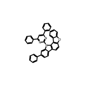 c1ccc(-c2ccc3c4ccc5oc6ccccc6c5c4n(-c4nc(-c5ccccc5)cc(-c5ccccc5)n4)c3c2)cc1